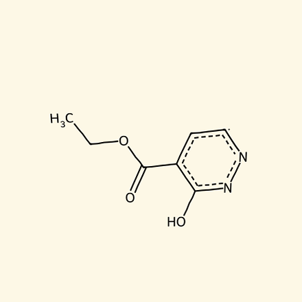 CCOC(=O)c1c[c]nnc1O